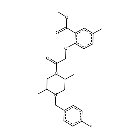 COC(=O)c1cc(C)ccc1OCC(=O)N1CC(C)N(Cc2ccc(F)cc2)CC1C